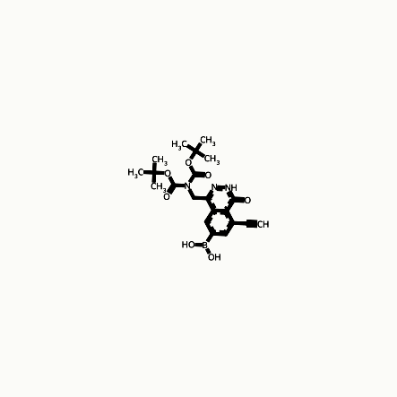 C#Cc1cc(B(O)O)cc2c(CN(C(=O)OC(C)(C)C)C(=O)OC(C)(C)C)n[nH]c(=O)c12